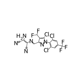 N#CC(N)=C(C#N)N=Cc1nn(-c2c(Cl)cc(C(F)(F)F)cc2Cl)c(Cl)c1C(F)F